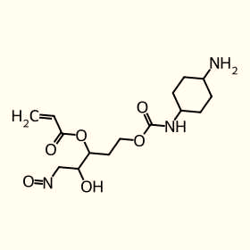 C=CC(=O)OC(CCOC(=O)NC1CCC(N)CC1)C(O)CN=O